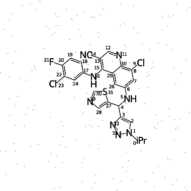 CC(C)n1cc(C(Nc2cc(Cl)c3ncc(C#N)c(Nc4ccc(F)c(Cl)c4)c3c2)c2cncs2)nn1